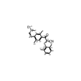 CCN(C)/C=N\c1cc(C)c(C(=O)C(C#N)Sc2c(C)cccc2C)cc1C